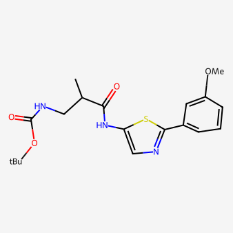 COc1cccc(-c2ncc(NC(=O)C(C)CNC(=O)OC(C)(C)C)s2)c1